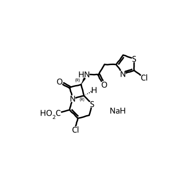 O=C(Cc1csc(Cl)n1)N[C@@H]1C(=O)N2C(C(=O)O)=C(Cl)CS[C@H]12.[NaH]